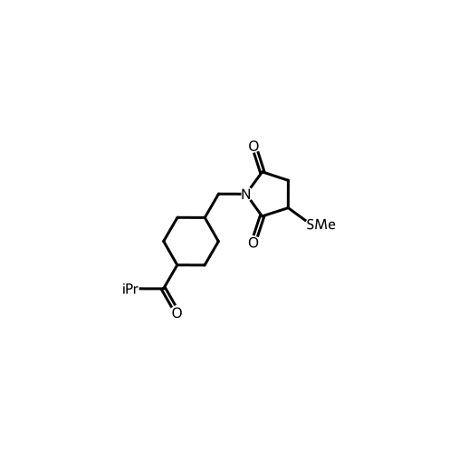 CSC1CC(=O)N(CC2CCC(C(=O)C(C)C)CC2)C1=O